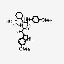 COc1ccc(NC(=O)[C@@H](C2CCCCC2)N(CC(=O)O)C(=O)C(=O)c2c[nH]c3cc(OC)ccc23)cc1